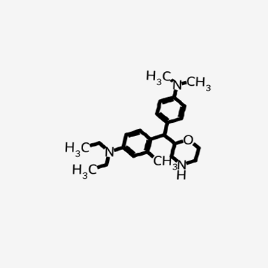 CCN(CC)c1ccc(C(c2ccc(N(C)C)cc2)C2CNCCO2)c(C)c1